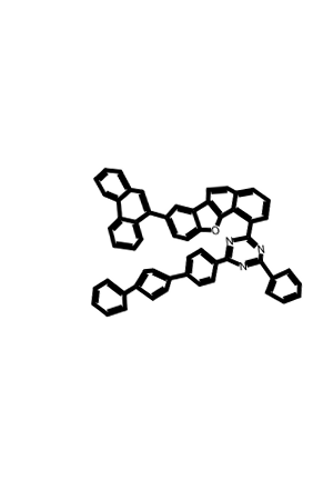 c1ccc(-c2ccc(-c3ccc(-c4nc(-c5ccccc5)nc(-c5cccc6ccc7c8cc(-c9cc%10ccccc%10c%10ccccc9%10)ccc8oc7c56)n4)cc3)cc2)cc1